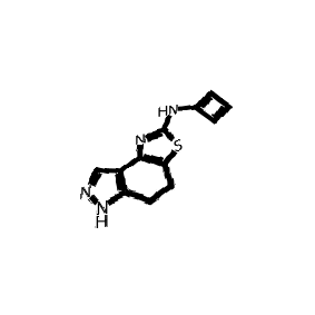 C1=CC(Nc2nc3c(s2)CCc2[nH]ncc2-3)=C1